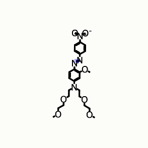 COCCOCCN(CCOCCOC)c1ccc(/N=N/c2ccc([N+](=O)[O-])cc2)c(OC)c1